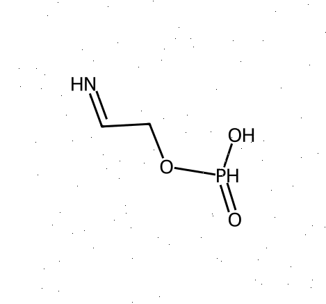 N=CCO[PH](=O)O